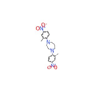 Cc1cc([N+](=O)[O-])ccc1N1CCCN(c2ccc([N+](=O)[O-])cc2C)CC1